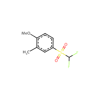 COc1ccc(S(=O)(=O)C(F)F)cc1C